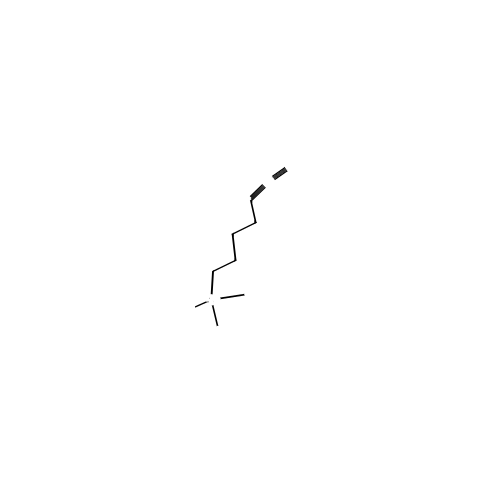 C[N+](C)(C)CCCCC=C=O